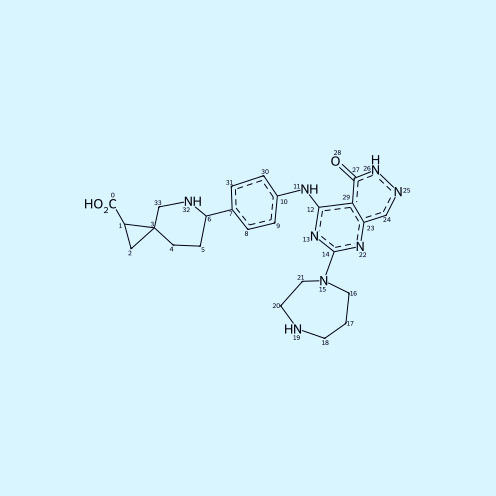 O=C(O)C1CC12CCC(c1ccc(Nc3nc(N4CCCNCC4)nc4cn[nH]c(=O)c34)cc1)NC2